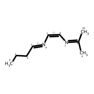 CCC/C=N/C=C\N=C(C)C